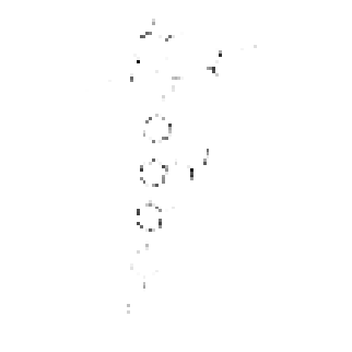 C=C(C)C(=O)OCC(COC(=O)C(=O)CCOC)(COC(=O)C(=O)CCOC)COc1ccc(-c2ccc(-c3ccc(C4CCC(CCCCC)CC4)cc3F)cc2OC(=O)C(=C)C)cc1